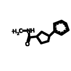 [CH2]NC(=O)C1CCC(c2ccccc2)C1